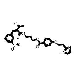 CC(=O)C(=Cc1cccc([N+](=O)[O-])c1)C(=O)OCCCOC(=O)c1ccc(OCCc2ncc[nH]2)cc1